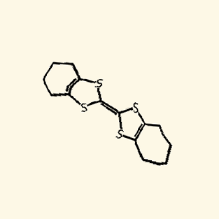 C1CCC2=C(C1)SC(=C1SC3=C(CCCC3)S1)S2